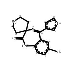 O=C1Nc2ccc(Cl)cc2C(c2ccsc2)=NC12CCNCC2